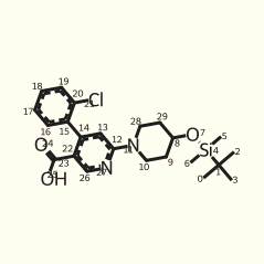 CC(C)(C)[Si](C)(C)OC1CCN(c2cc(-c3ccccc3Cl)c(C(=O)O)cn2)CC1